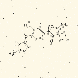 Cc1cnc(Oc2ccc(NC(=O)C3(C(N)=O)CCC3)cc2C)s1